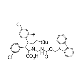 CC(C)(C)CC1C(c2ccc(Cl)cc2F)C(c2cccc(Cl)c2)C(C(=O)O)N1CNC(=O)OCC1c2ccccc2-c2ccccc21